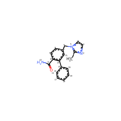 Cc1nccn1Cc1ccc(C(N)=O)c(-c2ccccc2)c1